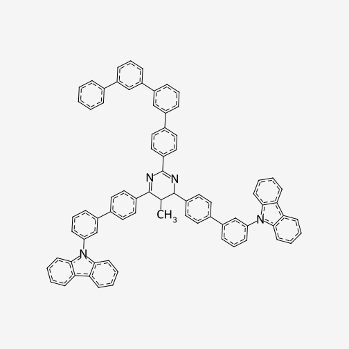 CC1C(c2ccc(-c3cccc(-n4c5ccccc5c5ccccc54)c3)cc2)=NC(c2ccc(-c3cccc(-c4cccc(-c5ccccc5)c4)c3)cc2)=NC1c1ccc(-c2cccc(-n3c4ccccc4c4ccccc43)c2)cc1